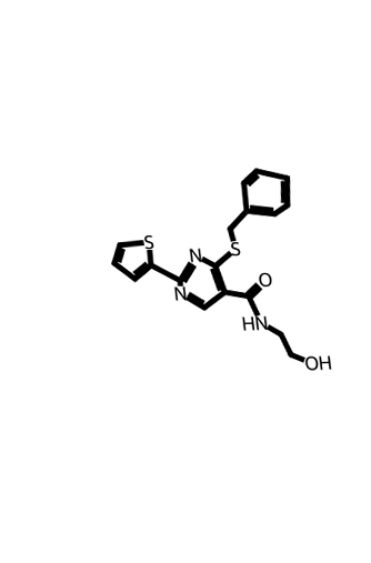 O=C(NCCO)c1cnc(-c2cccs2)nc1SCc1ccccc1